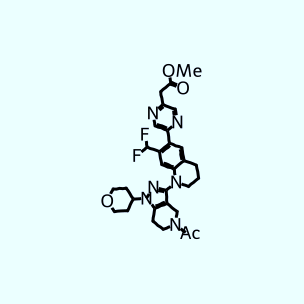 COC(=O)Cc1cnc(-c2cc3c(cc2C(F)F)N(c2nn(C4CCOCC4)c4c2CN(C(C)=O)CC4)CCC3)cn1